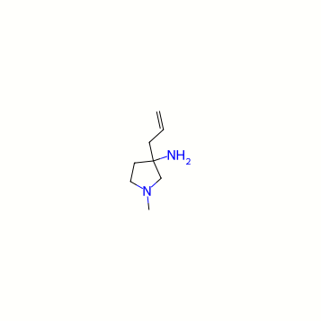 C=CCC1(N)CCN(C)C1